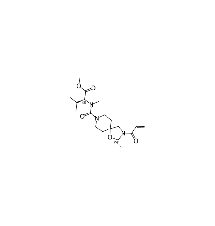 C=CC(=O)N1CC2(CCN(C(=O)N(C)[C@H](C(=O)OC)C(C)C)CC2)O[C@H]1C